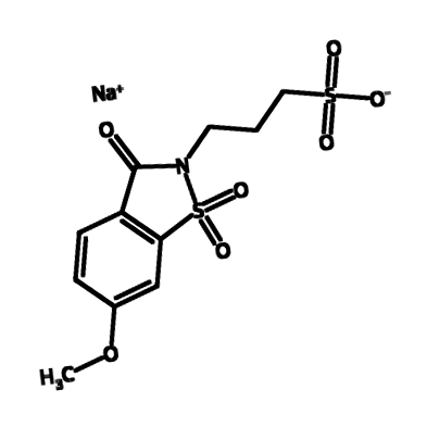 COc1ccc2c(c1)S(=O)(=O)N(CCCS(=O)(=O)[O-])C2=O.[Na+]